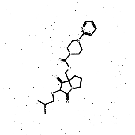 CC(C)COC1C(=O)N2CCCC2(COC(=O)N2CCN(c3ccccn3)CC2)C1=O